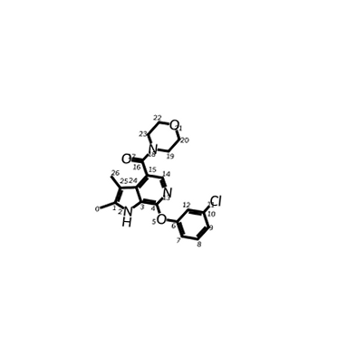 Cc1[nH]c2c(Oc3cccc(Cl)c3)ncc(C(=O)N3CCOCC3)c2c1C